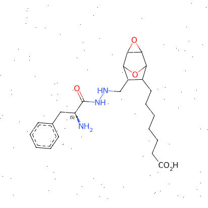 N[C@@H](Cc1ccccc1)C(=O)NNCC1C(CCCCCCC(=O)O)C2OC1C1OC21